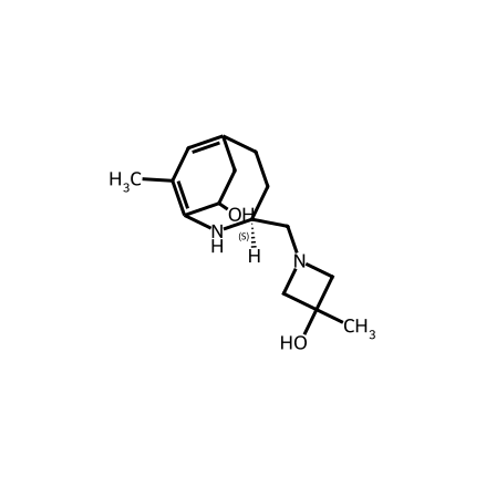 CC1=C2N[C@H](CN3CC(C)(O)C3)CCC(=C1)CC2O